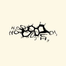 CC1CCC2C3CC=C4C(C)(C)[C@@H](O)CC[C@]4(C)C3CC[C@]12C